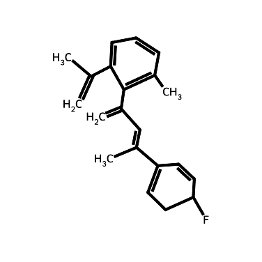 C=C(C)c1cccc(C)c1C(=C)/C=C(\C)C1=CCC(F)C=C1